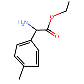 CCOC(=O)C(N)c1ccc(C)cc1